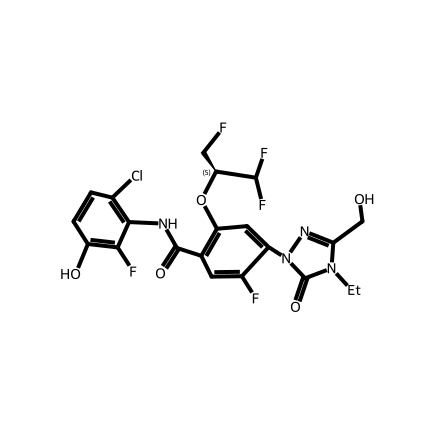 CCn1c(CO)nn(-c2cc(O[C@@H](CF)C(F)F)c(C(=O)Nc3c(Cl)ccc(O)c3F)cc2F)c1=O